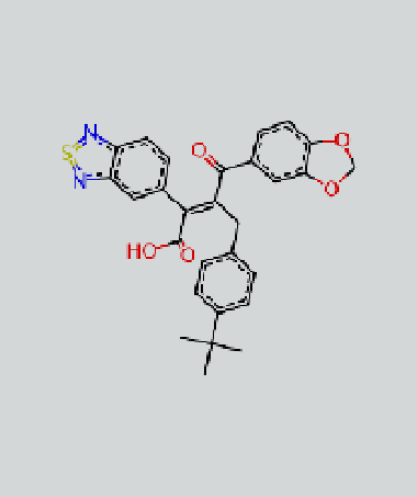 CC(C)(C)c1ccc(CC(C(=O)c2ccc3c(c2)OCO3)=C(C(=O)O)c2ccc3nsnc3c2)cc1